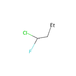 CCC[C](F)Cl